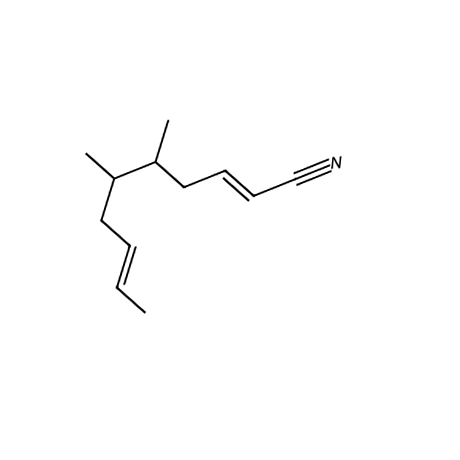 CC=CCC(C)C(C)CC=CC#N